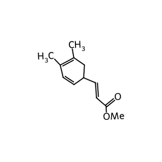 COC(=O)C=CC1C=CC(C)=C(C)C1